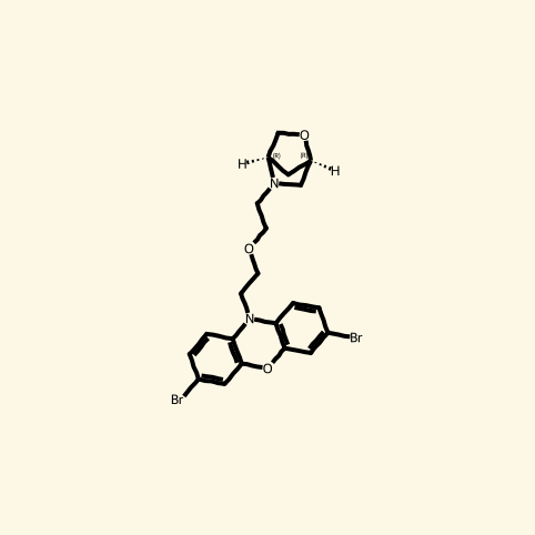 Brc1ccc2c(c1)Oc1cc(Br)ccc1N2CCOCCN1C[C@H]2C[C@@H]1CO2